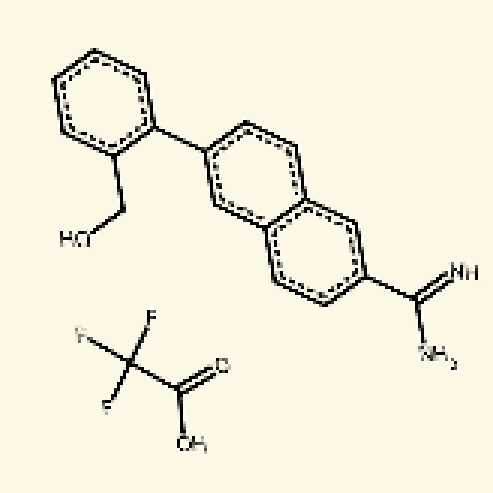 N=C(N)c1ccc2cc(-c3ccccc3CO)ccc2c1.O=C(O)C(F)(F)F